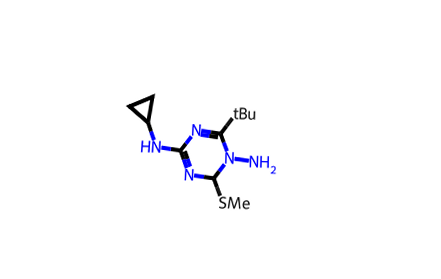 CSC1N=C(NC2CC2)N=C(C(C)(C)C)N1N